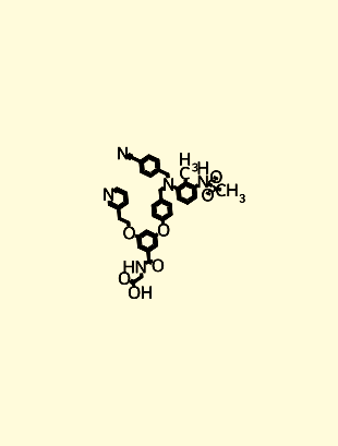 Cc1c(NS(C)(=O)=O)cccc1N(Cc1ccc(C#N)cc1)Cc1ccc(Oc2cc(OCCc3cccnc3)cc(C(=O)NCC(=O)O)c2)cc1